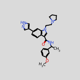 COc1cccc(C(C)NC(=O)c2cn(CCN3CCCC3)c3cc(-c4cn[nH]c4)ccc23)c1